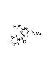 CNCc1cc(C(=O)N2CCCCC2)nc(C)n1